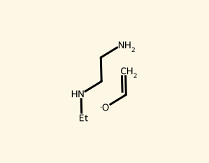 C=C[O].CCNCCN